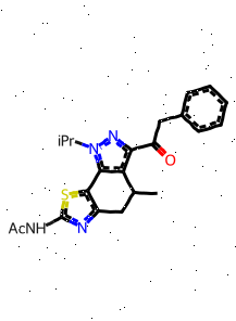 CC(=O)Nc1nc2c(s1)-c1c(c(C(=O)Cc3ccccc3)nn1C(C)C)C(C)C2